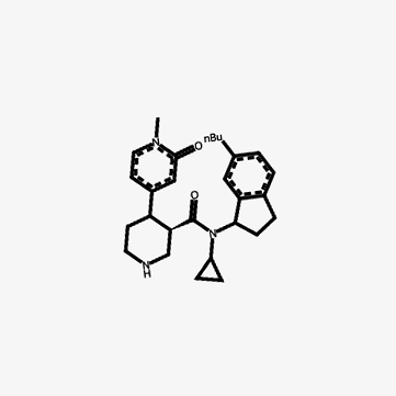 CCCCc1ccc2c(c1)C(N(C(=O)[C@H]1CNCCC1c1ccn(C)c(=O)c1)C1CC1)CC2